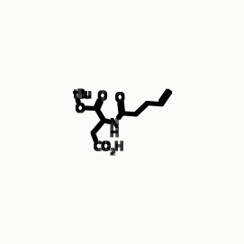 C=CCCC(=O)NC(CC(=O)O)C(=O)OC(C)(C)C